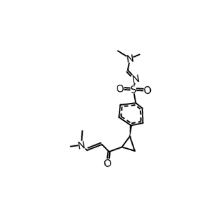 CN(C)C=CC(=O)C1C[C@@H]1c1ccc(S(=O)(=O)/N=C/N(C)C)cc1